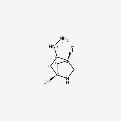 NNC1C[C@@H]2C[C@H]1CN2